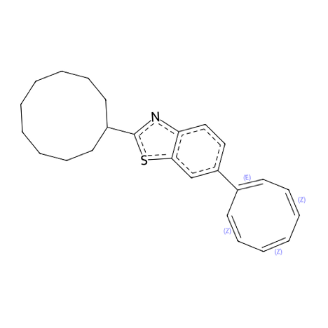 C1=C\C=C/C(c2ccc3nc(C4CCCCCCCCC4)sc3c2)=C\C=C/1